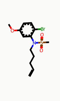 C=CCCCN(c1cc(OC)ccc1Br)S(C)(=O)=O